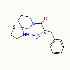 N[C@@H](Cc1ccccc1)C(=O)N1CCCC2(C1)NCCS2